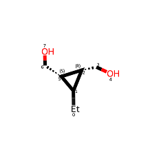 CCC1[C@@H](CO)[C@H]1CO